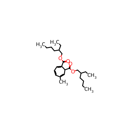 CCCCC(CC)COC(=O)C1=CC=CC(C)=CC1C(=O)OCC(CC)CCCC